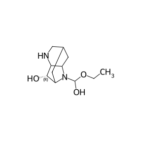 CCOC(O)N1C2CC3CNC2[C@@H](O)C1C3